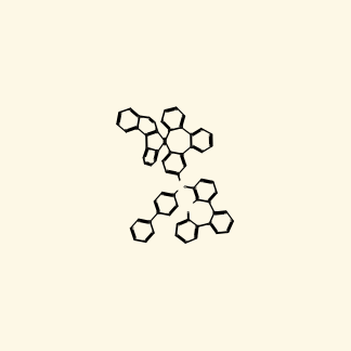 c1ccc(-c2ccc(N(c3ccc4c(c3)-c3ccccc3-c3ccccc3C43c4ccccc4-c4c3ccc3ccccc43)c3cccc4c3Oc3ccccc3-c3ccccc3-4)cc2)cc1